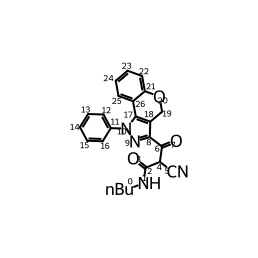 CCCCNC(=O)C(C#N)C(=O)c1nn(-c2ccccc2)c2c1COc1ccccc1-2